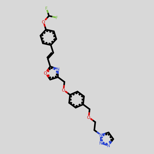 FC(F)Oc1ccc(C=Cc2nc(COc3ccc(COCCn4ccnn4)cc3)co2)cc1